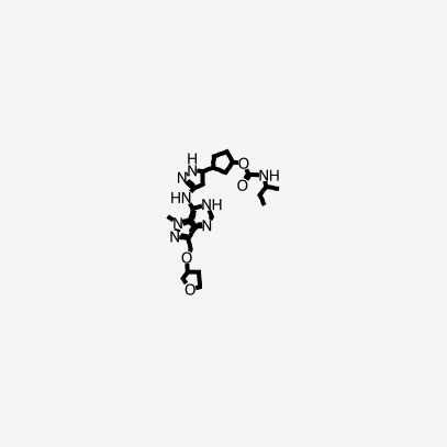 CCC(C)NC(=O)OC1CCC(C2CC(NC3=c4c(c(COC5CCOC5)nn4C)=NCN3)=NN2)C1